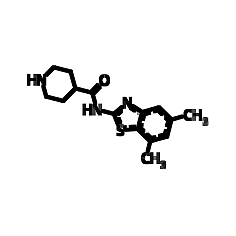 Cc1cc(C)c2sc(NC(=O)C3CCNCC3)nc2c1